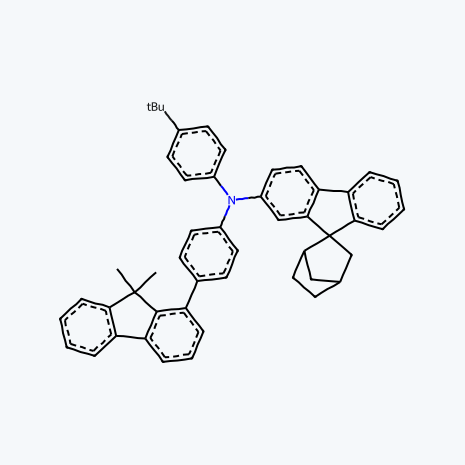 CC(C)(C)c1ccc(N(c2ccc(-c3cccc4c3C(C)(C)c3ccccc3-4)cc2)c2ccc3c(c2)C2(CC4CCC2C4)c2ccccc2-3)cc1